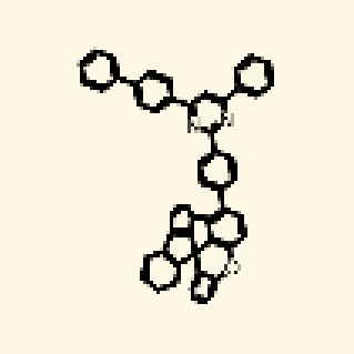 CC1CC=CC2=C1C1(C3=C2C=CCC3)c2ccccc2Oc2ccc(-c3ccc(-c4nc(-c5ccccc5)cc(-c5ccc(-c6ccccc6)cc5)n4)cc3)cc21